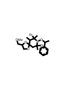 CCC1(C)CC2(OCC(COC)O2)C(C)C(C)(CC)N1OC(C)c1ccccc1